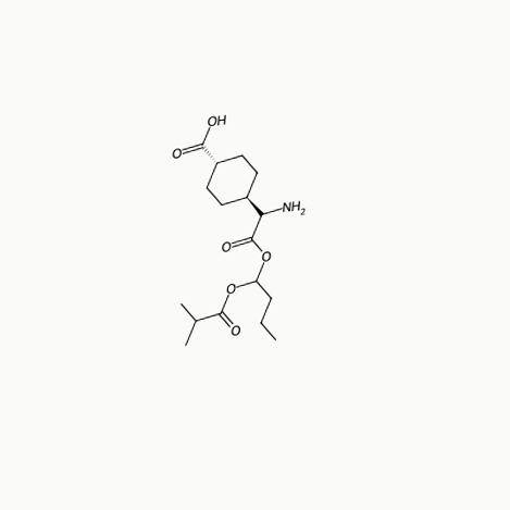 CCCC(OC(=O)C(C)C)OC(=O)C(N)[C@H]1CC[C@H](C(=O)O)CC1